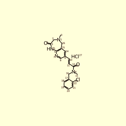 CN1CC(=O)Nc2ncc(/C=C/C(=O)N(C)Cc3ccccc3Cl)cc2C1.Cl